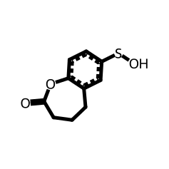 O=C1CCCc2cc(SO)ccc2O1